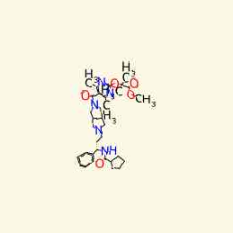 COC(=O)C(C)(C)Oc1nc(C)c(C(=O)N2CC3CN(CC[C@H](NC(=O)C4CCCC4)c4ccccc4)CC3C2)c(C)n1